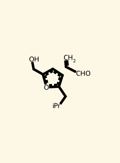 C=CC=O.CC(C)Cc1ccc(CO)o1